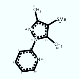 CSc1c(C)nn(-c2ccccn2)c1C